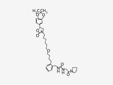 CC1(C)OCc2cc(C3CN(CCCCCCOCCCCc4ccccc4CNC(=O)NCC(=O)N4CCCC4)C(=O)O3)ccc2O1